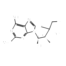 CSc1nc(N)c2ncn([C@H](O)[C@H](C)[C@@](C)(CO)C(C)C)c2n1